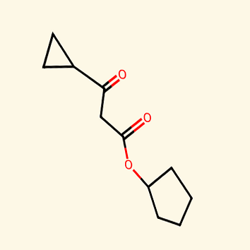 O=C(CC(=O)C1CC1)OC1CCCC1